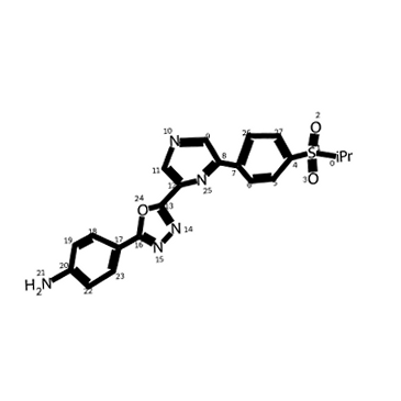 CC(C)S(=O)(=O)c1ccc(-c2cncc(-c3nnc(-c4ccc(N)cc4)o3)n2)cc1